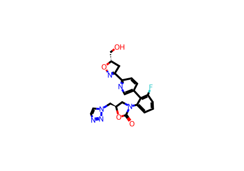 O=C1O[C@@H](Cn2ccnn2)CN1c1cccc(F)c1-c1ccc(C2=NO[C@H](CO)C2)nc1